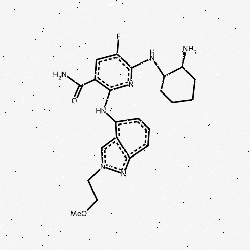 COCCn1cc2c(Nc3nc(NC4CCCC[C@@H]4N)c(F)cc3C(N)=O)cccc2n1